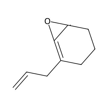 C=CCC1=C2O[C]2CCC1